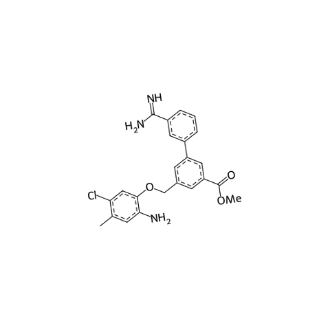 COC(=O)c1cc(COc2cc(Cl)c(C)cc2N)cc(-c2cccc(C(=N)N)c2)c1